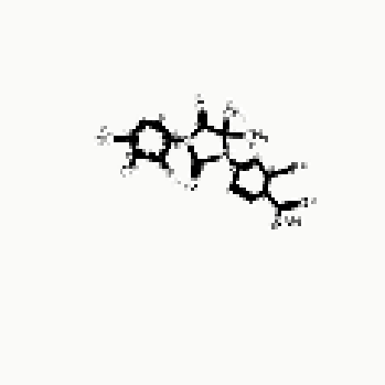 CNC(=O)C1C=CC(N2C(=S)N(c3ccc(C#N)c(Cl)c3F)C(=O)C2(C)C)=CC1F